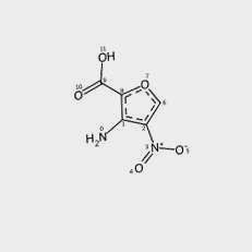 Nc1c([N+](=O)[O-])coc1C(=O)O